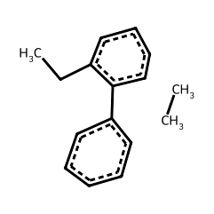 CC.CCc1ccccc1-c1ccccc1